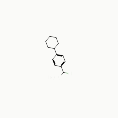 O=C(O)C(Cl)c1ccc(C2CCCCC2)cc1